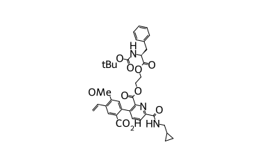 C=Cc1cc(C(=O)O)c(-c2ccc(C(=O)NCC3CC3)nc2C(=O)OCCOC(=O)[C@H](Cc2ccccc2)NC(=O)OC(C)(C)C)cc1OC